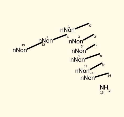 CCCCCCCCCC.CCCCCCCCCC.CCCCCCCCCC.CCCCCCCCCC.CCCCCCCCCC.CCCCCCCCCC.CCCCCCCCCC.CCCCCCCCCC.N